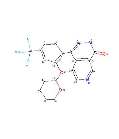 O=c1[nH]nc(-c2ccc(C(F)(F)F)cc2OC2CCCCO2)c2ccncc12